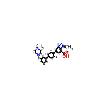 CN1CCN(Cc2cccc(-c3ccc(-c4cc(C(=O)O)c5c(c4)nnn5C)cc3)c2)CC1